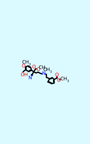 COC(=O)c1cccc(CCN(C)CCCC(C#N)(C(=O)OC)c2ccc(OC)c(CO)c2)c1